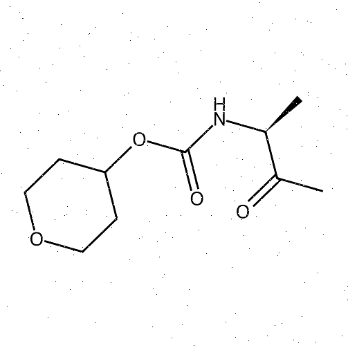 CC(=O)[C@H](C)NC(=O)OC1CCOCC1